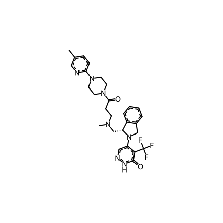 Cc1ccc(N2CCN(C(=O)CCN(C)C[C@@H]3c4ccccc4CN3c3cn[nH]c(=O)c3C(F)(F)F)CC2)nc1